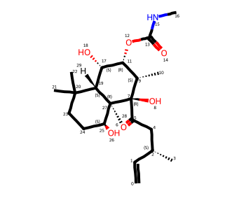 C=C[C@@H](C)CC(=O)[C@@]1(O)[C@@H](C)[C@@H](OC(=O)NC)[C@@H](O)[C@H]2C(C)(C)CC[C@H](O)[C@@]21C